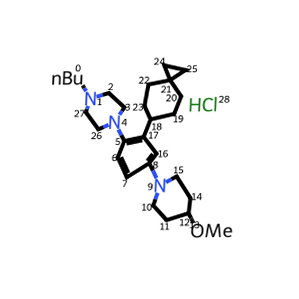 CCCCN1CCN(c2ccc(N3CCC(OC)CC3)cc2C2CCC3(CC2)CC3)CC1.Cl